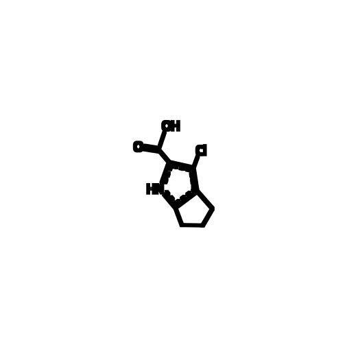 O=C(O)c1[nH]c2c(c1Cl)CCC2